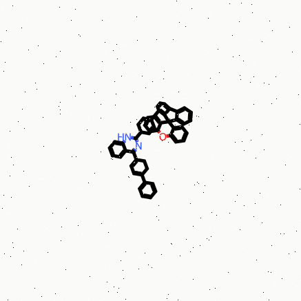 C1=CC(C2N=C(C3=CC=C(c4ccccc4)CC3)c3ccccc3N2)CC=C1c1cccc2c1C1(c3ccccc3Oc3ccccc31)c1ccccc1-2